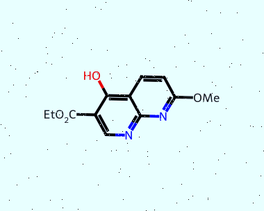 CCOC(=O)c1cnc2nc(OC)ccc2c1O